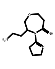 N=C1CCOCC(CCN)N1C1=NCCC1